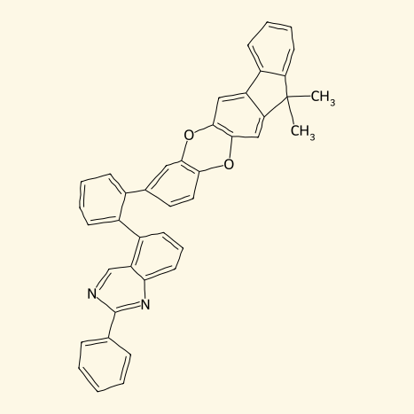 CC1(C)c2ccccc2-c2cc3c(cc21)Oc1ccc(-c2ccccc2-c2cccc4nc(-c5ccccc5)ncc24)cc1O3